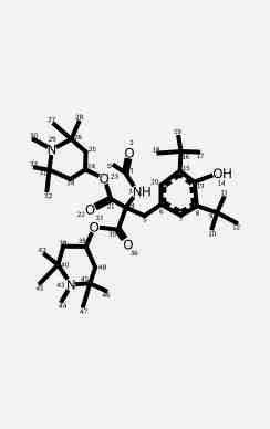 CC(=O)NC(Cc1cc(C(C)(C)C)c(O)c(C(C)(C)C)c1)(C(=O)OC1CC(C)(C)N(C)C(C)(C)C1)C(=O)OC1CC(C)(C)N(C)C(C)(C)C1